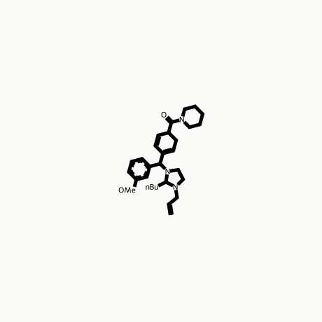 C=CCN1CCN(C(C2=CCC(C(=O)N3CCCCC3)C=C2)c2cccc(OC)c2)C1CCCC